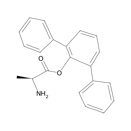 C[C@H](N)C(=O)Oc1c(-c2ccccc2)cccc1-c1ccccc1